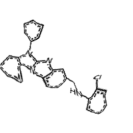 Clc1ccccc1NCc1ccc2c(c1)nc1n(-c3ccccc3)c3ccccc3n21